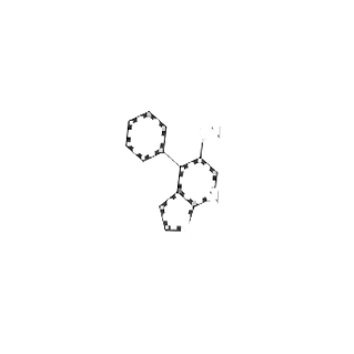 N#Cc1cnc2sccc2c1-c1ccccc1